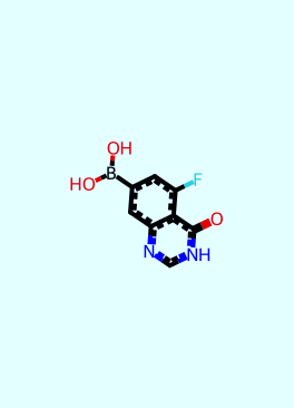 O=c1[nH]cnc2cc(B(O)O)cc(F)c12